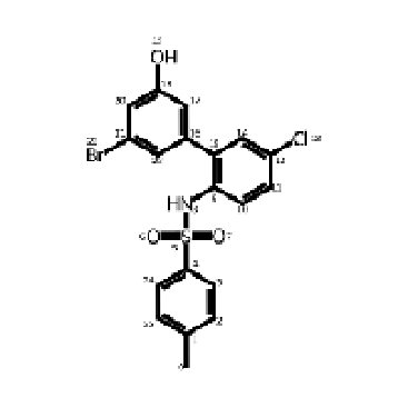 Cc1ccc(S(=O)(=O)Nc2ccc(Cl)cc2-c2cc(O)cc(Br)c2)cc1